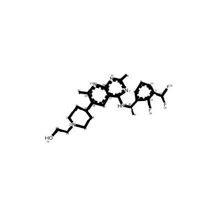 Cc1nc(N[C@H](C)c2cccc(C(F)F)c2F)c2cc(C3CCN(CCO)CC3)c(C)nc2n1